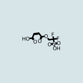 O=C(O)/C=C\C(=O)OCC(F)(F)S(=O)(=O)O